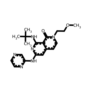 COCCn1ccc2cc(Nc3cnccn3)nc(NC(C)(C)C)c2c1=O